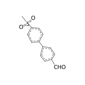 CS(=O)(=O)c1ccc(-c2ccc(C=O)cc2)cc1